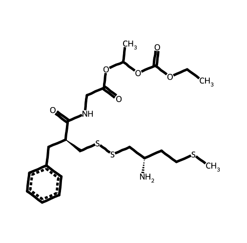 CCOC(=O)OC(C)OC(=O)CNC(=O)[C@@H](CSSC[C@@H](N)CCSC)Cc1ccccc1